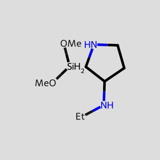 CCNC1CCNC1.CO[SiH2]OC